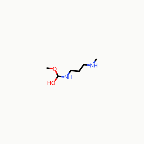 CNCCCNC(O)OC